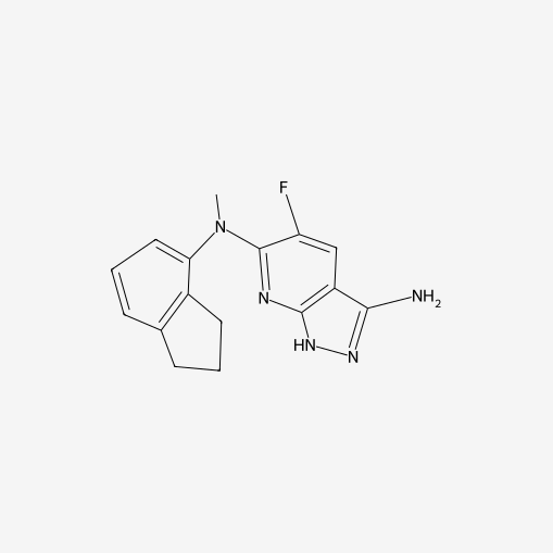 CN(c1cccc2c1CCC2)c1nc2[nH]nc(N)c2cc1F